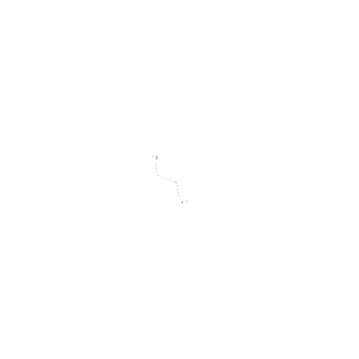 CCCCC(CNC(C)=O)C(=O)O